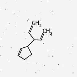 C=CC(C=C)[C]1C=CCC1